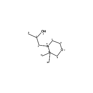 CC(O)CN1CCOCC1(C)C